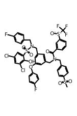 CS(=O)(=O)c1ccc(CN(Cc2cc(CN(Cc3ccc(F)cc3)S(=O)(=O)c3cc(Cl)cc(Cl)c3O)cc(Oc3ccc(F)cc3)c2)C(=O)c2cccc([S+]([O-])C(F)(F)F)c2)cc1